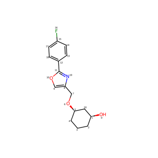 O[C@H]1CCC[C@@H](OCc2coc(-c3ccc(F)cc3)n2)C1